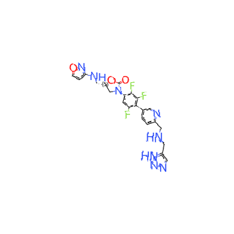 O=C1O[C@@H](CNc2ccon2)CN1c1cc(F)c(-c2ccc(CNCc3cnn[nH]3)nc2)c(F)c1F